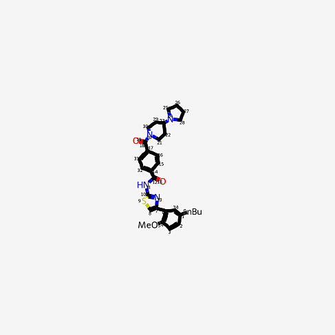 CCCCc1ccc(OC)c(-c2csc(NC(=O)c3ccc(C(=O)N4CCC(N5CCCC5)CC4)cc3)n2)c1